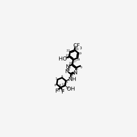 Cc1nc(N[C@@H]2CCCC(F)(F)[C@H]2O)nnc1-c1ccc(C(F)(F)F)cc1O